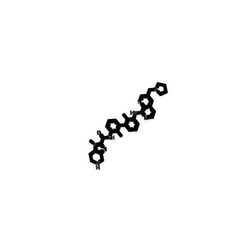 Cc1c(NC(=O)c2nc3c(n2C)CCNC3)cccc1-c1cccc(Nc2nccc3cc(CN4CCCC4)cnc23)c1C